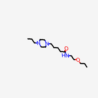 CCCOCCNC(=O)CCCCN1CCN(CCC)CC1